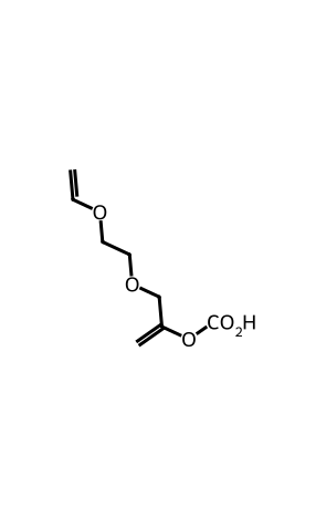 C=COCCOCC(=C)OC(=O)O